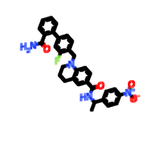 CC(NC(=O)c1ccc2c(c1)CCCN2Cc1ccc(-c2ccccc2C(N)=O)cc1F)c1ccc([N+](=O)[O-])cc1